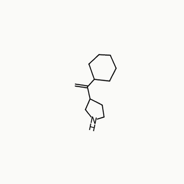 C=C(C1CCCCC1)C1CCNC1